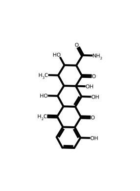 C=C1c2cccc(O)c2C(=O)C2=C(O)C3(O)C(=O)C(C(N)=O)C(O)C(C)C3C(O)C12